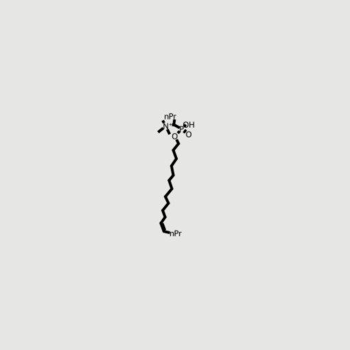 CCC/C=C\CCCCCCCCCCCOP(=O)(O)C(CCC)[N+](C)(C)C